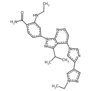 CCNc1cc(-n2nc(C(C)C)c3c(-n4cnc(-c5cnn(CC)c5)c4)ccnc32)ccc1C(N)=O